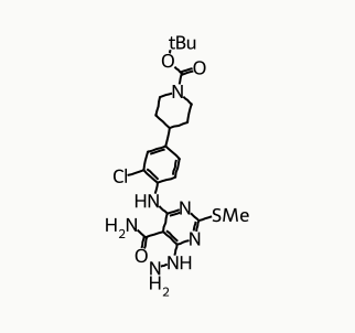 CSc1nc(NN)c(C(N)=O)c(Nc2ccc(C3CCN(C(=O)OC(C)(C)C)CC3)cc2Cl)n1